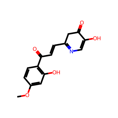 COc1ccc(C(=O)/C=C/C2=NC=C(O)C(=O)C2)c(O)c1